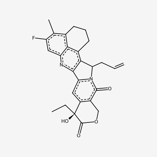 C=CCC1c2c(nc3cc(F)c(C)c4c3c2CCC4)-c2cc3c(c(=O)n21)COC(=O)[C@]3(O)CC